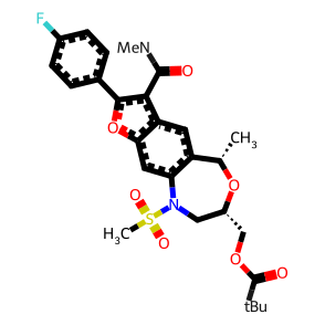 CNC(=O)c1c(-c2ccc(F)cc2)oc2cc3c(cc12)[C@H](C)O[C@H](COC(=O)C(C)(C)C)CN3S(C)(=O)=O